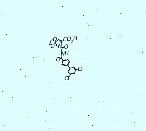 O=C(NCC(=O)N1CC2(C[C@H]1C(=O)O)OCCO2)c1ccc(-c2cc(Cl)cc(Cl)c2)cc1